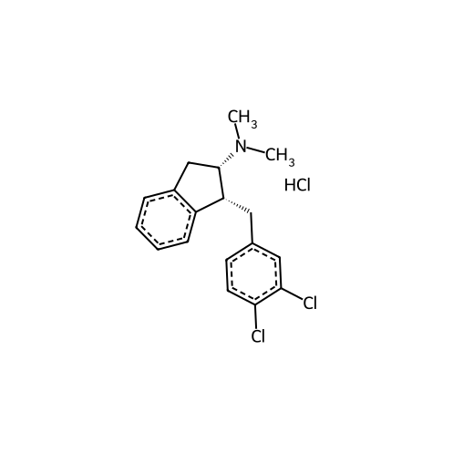 CN(C)[C@H]1Cc2ccccc2[C@H]1Cc1ccc(Cl)c(Cl)c1.Cl